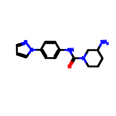 NC1CCCN(C(=O)Nc2ccc(-n3cccn3)cc2)C1